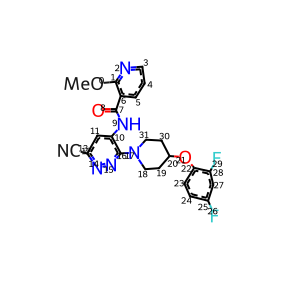 COc1ncccc1C(=O)Nc1cc(C#N)nnc1N1CCC(Oc2ccc(F)cc2F)CC1